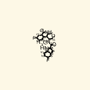 CN(C(=O)c1cc2cc(F)ccc2[nH]1)[C@@H]1COCc2[nH]c(=O)c3cc(F)ccc3c21